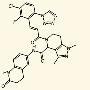 Cc1nn(C)c2c1C(C(=O)Nc1ccc3c(c1)CCC(=O)N3)N(C(=O)C=Cc1c(-n3cnnn3)ccc(Cl)c1F)CC2